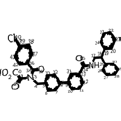 O=C(O)C(=O)N(Cc1ccc(-c2cccc(C(=O)NCC(c3ccccc3)c3ccccc3)c2)cc1)C(=O)c1ccc(Cl)cc1